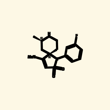 CNC1=CS(=O)(=O)N(c2cccc(F)c2)[C@@]12CCN[C@@H](C)C2